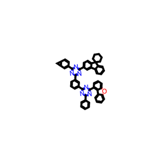 C1=CC2CC2C=C1c1nc(-c2cccc(-c3nc(-c4ccccc4)nc(-c4cccc5oc6ccccc6c45)n3)c2)nc(-c2ccc3c(c2)-c2ccccc2C32CCCCC2)n1